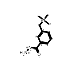 C[N+](C)(C)Cc1cccc(C(=O)NN)c1